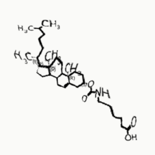 CC(C)CCC[C@@H](C)[C@H]1CCC2C3CC=C4C[C@@H](OC(=O)NCCCCCC(=O)O)CC[C@]4(C)C3CC[C@@]21C